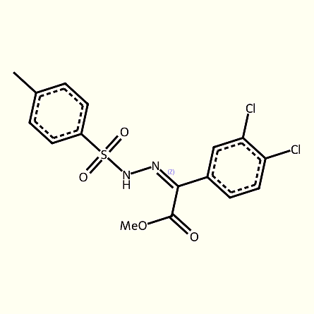 COC(=O)/C(=N\NS(=O)(=O)c1ccc(C)cc1)c1ccc(Cl)c(Cl)c1